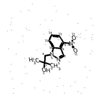 CC(C)(O)Cn1ncc2c([N+](=O)[O-])cccc21